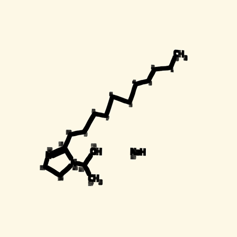 CCCCCCCCCCCC1=NCCN1C(C)O.[NaH]